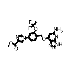 COC(=O)c1cn(-c2ccc(COc3cc(N)nc4[nH]nnc34)c(OC(F)(F)F)c2)cn1